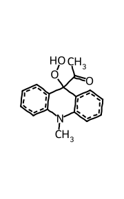 CC(=O)C1(OO)c2ccccc2N(C)c2ccccc21